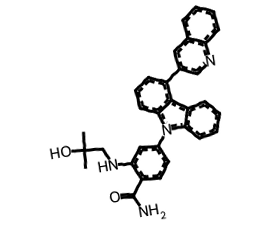 CC(C)(O)CNc1cc(-n2c3ccccc3c3c(-c4cnc5ccccc5c4)cccc32)ccc1C(N)=O